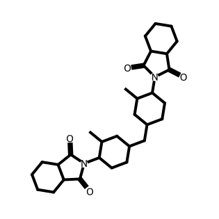 CC1CC(CC2CCC(N3C(=O)C4CCCCC4C3=O)C(C)C2)CCC1N1C(=O)C2CCCCC2C1=O